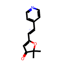 CC1(C)OC(/C=C/c2ccncc2)=CC1=O